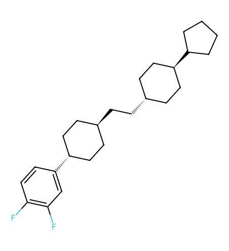 Fc1ccc([C@H]2CC[C@H](CC[C@H]3CC[C@H](C4CCCC4)CC3)CC2)cc1F